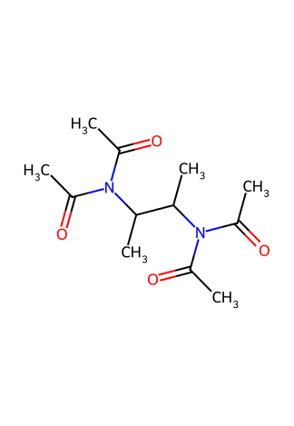 CC(=O)N(C(C)=O)C(C)C(C)N(C(C)=O)C(C)=O